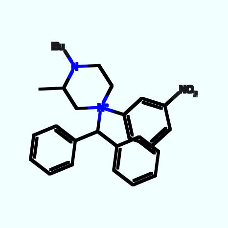 [CH2]CC(C)N1CC[N+](c2cccc([N+](=O)[O-])c2)(C(c2ccccc2)c2ccccc2)CC1C